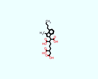 CCCCc1cccc2c1C(C)=CC2C(C(=O)O)C(CCCC(CC(=O)O)C(=O)O)C(=O)O